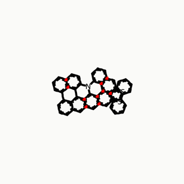 c1ccc(-c2cccc3cccc(-c4ccccc4N(c4ccccc4-c4cccc5sc6ccccc6c45)c4ccccc4-c4cccc5sc6ccccc6c45)c23)cc1